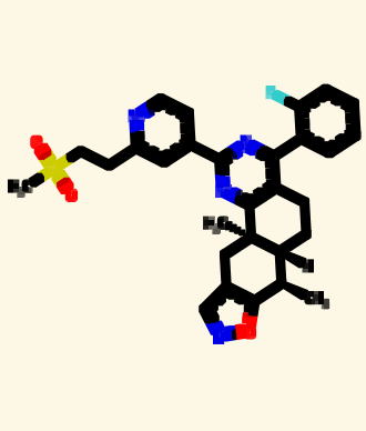 C[C@H]1c2oncc2C[C@@]2(C)c3nc(-c4ccnc(CCS(C)(=O)=O)c4)nc(-c4ccccc4F)c3CC[C@H]12